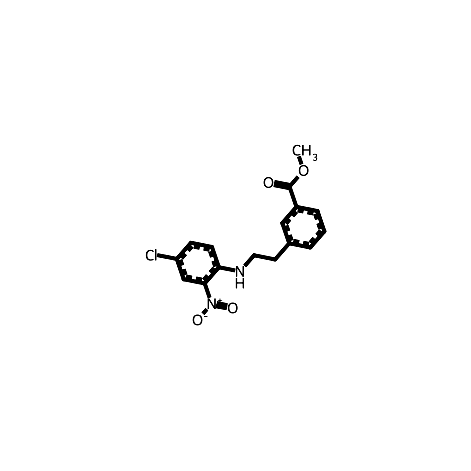 COC(=O)c1cccc(CCNc2ccc(Cl)cc2[N+](=O)[O-])c1